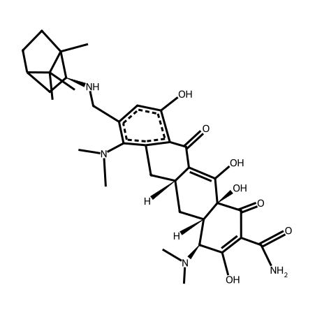 CN(C)c1c(CN[C@H]2CC3CCC2(C)C3(C)C)cc(O)c2c1C[C@H]1C[C@H]3[C@H](N(C)C)C(O)=C(C(N)=O)C(=O)[C@@]3(O)C(O)=C1C2=O